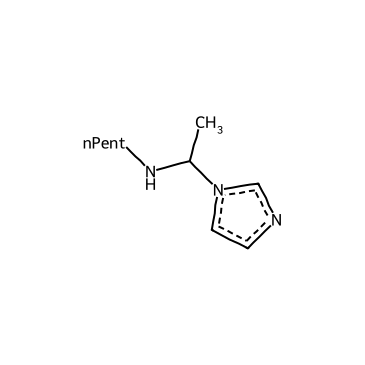 CCCCCNC(C)n1ccnc1